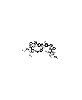 COC(=O)NC(C(=O)N1CCC[C@H]1c1ncc(-c2ccc3c(c2)cc2n3C(c3ccc(C4CC4)s3)Oc3cc(-c4cnc([C@@H]5CCCN5C(=O)[C@@H](NC(=O)OC)C(C)C)[nH]4)cc(F)c3-2)[nH]1)C1C[C@@H](C)O[C@H](C)C1